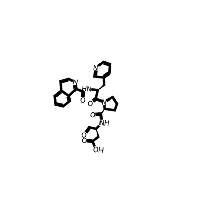 O=C[C@H](CC(=O)O)NC(=O)[C@@H]1CCCN1C(=O)[C@H](Cc1cccnc1)NC(=O)c1nccc2ccccc12